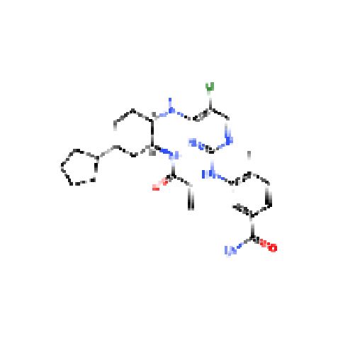 C=CC(=O)N[C@H]1CC(C2CCCC2)CC[C@@H]1Nc1nc(Nc2cc(C(N)=O)ccc2C)ncc1Cl